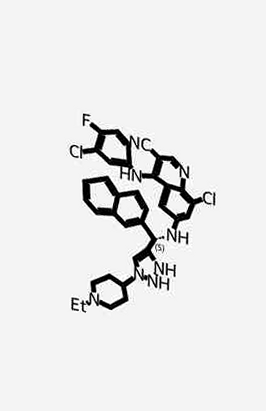 CCN1CCC(N2C=C([C@@H](Nc3cc(Cl)c4ncc(C#N)c(Nc5ccc(F)c(Cl)c5)c4c3)c3ccc4ccccc4c3)NN2)CC1